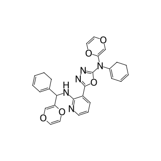 C1=CCCC(C(Nc2ncccc2-c2nnc(N(C3=CC=CCC3)C3=COC=CO3)o2)C2=COC=CO2)=C1